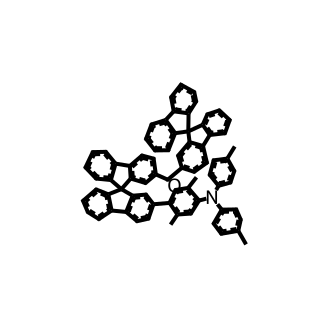 Cc1ccc(N(c2ccc(C)cc2)c2cc(C)c(-c3ccc4c(c3)C3(c5ccccc5-c5ccc(C(=O)c6ccc7c(c6)C6(c8ccccc8-c8ccccc86)c6ccccc6-7)cc53)c3ccccc3-4)cc2C)cc1